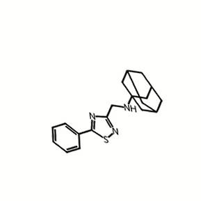 c1ccc(-c2nc(CNC34CC5CC(CC(C5)C3)C4)ns2)cc1